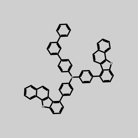 c1ccc(-c2cccc(-c3ccc(N(c4ccc(-c5cccc6oc7c8ccccc8ccc7c56)cc4)c4ccc(-c5cccc6oc7c8ccccc8ccc7c56)cc4)cc3)c2)cc1